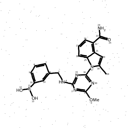 COc1nc(NCc2cccc(B(O)O)c2)nc(-n2c(C)cc3c(C(N)=O)cccc32)n1